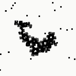 COC1(C)CC(C(=O)N2Cc3ccc(C(=O)N4CCN(CCCN(C)C)CC4)n3Cc3ccccc32)=CC=C1c1ccccc1